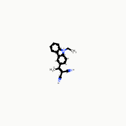 CCn1c2ccccc2c2cc(C(C)=C(C#N)C#N)ccc21